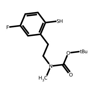 CN(CCc1cc(F)ccc1S)C(=O)OC(C)(C)C